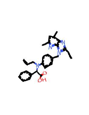 C=CCN(c1ccc(Cn2c(CC)nc3c(C)cc(C)nc32)cc1)C(C(=O)O)c1ccccc1